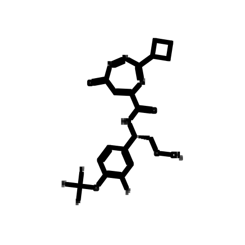 COC[C@@H](NC(=O)c1cc(=O)nnc(C2CCC2)n1)c1ccc(OC(F)(F)F)c(F)c1